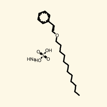 CCCCCCCCCCCCOC=Cc1ccccc1.O=S(=O)(O)O.[NaH]